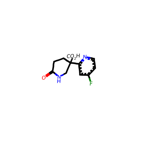 O=C1CCC(C(=O)O)(c2cc(F)ccn2)CN1